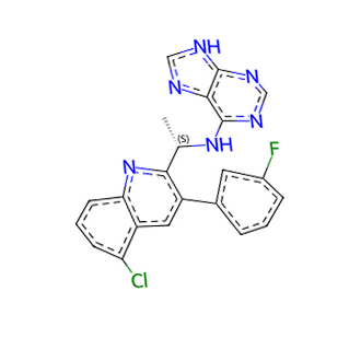 C[C@H](Nc1ncnc2[nH]cnc12)c1nc2cccc(Cl)c2cc1-c1cccc(F)c1